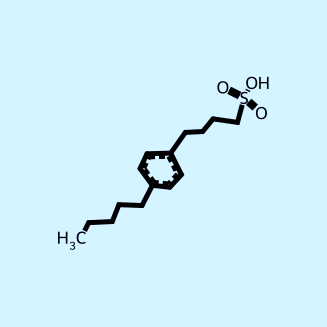 CCCCCc1ccc(CCCCS(=O)(=O)O)cc1